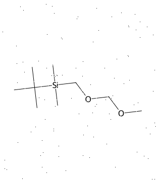 COCOC[Si](C)(C)C(C)(C)C